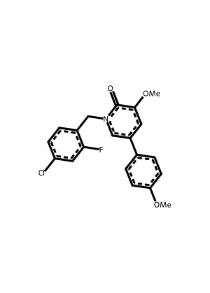 COc1ccc(-c2cc(OC)c(=O)n(Cc3ccc(Cl)cc3F)c2)cc1